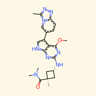 COc1nc(N[C@H]2C[C@](C)(C(=O)N(C)C)C2)nc2[nH]cc(-c3ccc4nnc(C)n4c3)c12